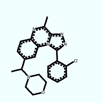 Cc1nc2ccc(C(C)N3CCOCC3)cc2n2c(-c3ccccc3Cl)nnc12